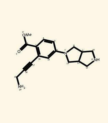 COC(=O)c1ccc(N2CC3CNCC3C2)cc1C#CCN